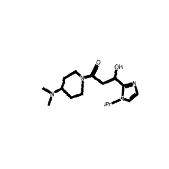 CC(C)n1ccnc1C(O)CC(=O)N1CCC(N(C)C)CC1